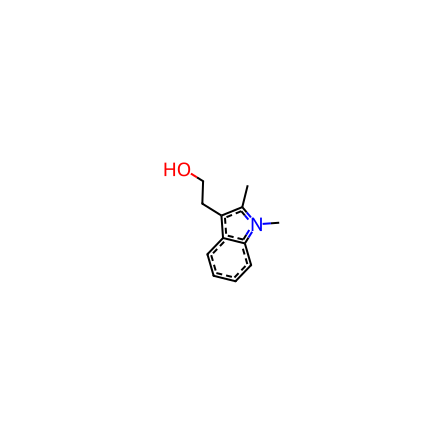 Cc1c(CCO)c2ccccc2n1C